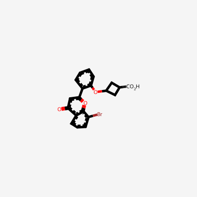 O=C(O)C1CC(Oc2ccccc2-c2cc(=O)c3cccc(Br)c3o2)C1